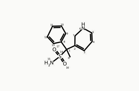 CC(C1=CC=CNC1)(c1ccccc1)S(N)(=O)=O